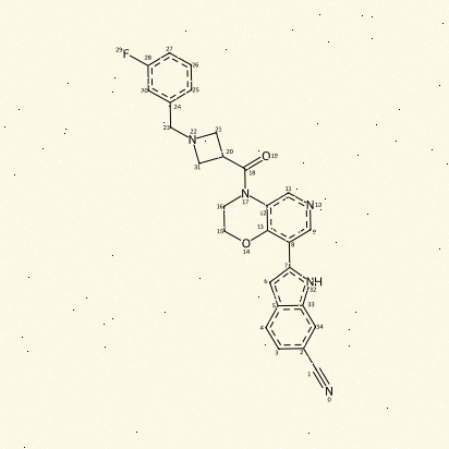 N#Cc1ccc2cc(-c3cncc4c3OCCN4C(=O)C3CN(Cc4cccc(F)c4)C3)[nH]c2c1